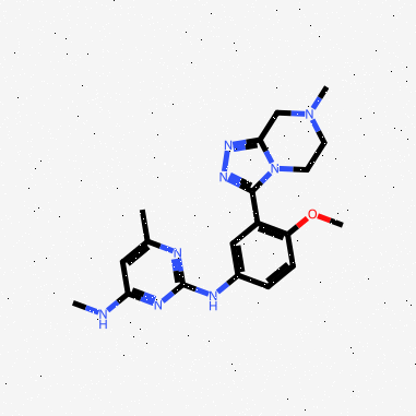 CNc1cc(C)nc(Nc2ccc(OC)c(-c3nnc4n3CCN(C)C4)c2)n1